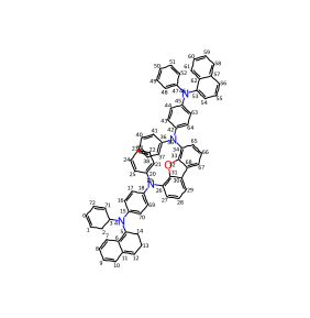 C1=CCC(N(C2=c3ccccc3=CCC2)c2ccc(N(c3ccccc3)c3cccc4c3oc3c(N(c5ccccc5)c5ccc(N(c6ccccc6)c6cccc7ccccc67)cc5)cccc34)cc2)C=C1